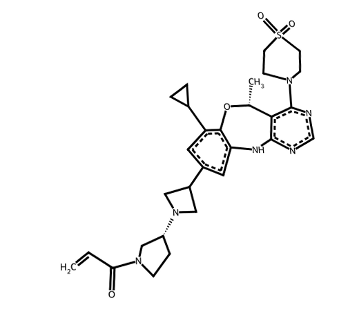 C=CC(=O)N1CC[C@@H](N2CC(c3cc4c(c(C5CC5)c3)O[C@H](C)c3c(ncnc3N3CCS(=O)(=O)CC3)N4)C2)C1